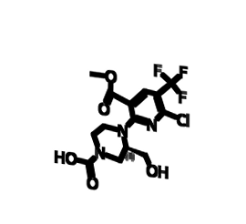 COC(=O)c1cc(C(F)(F)F)c(Cl)nc1N1CCN(C(=O)O)C[C@@H]1CO